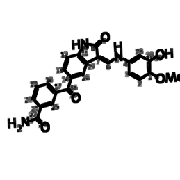 COc1ccc(NC=C2C(=O)Nc3ccc(C(=O)c4cccc(C(N)=O)c4)cc32)cc1O